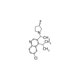 CC(C)c1c(C(C)N2CC[C@@H](F)C2)cnc2ccc(Cl)cc12